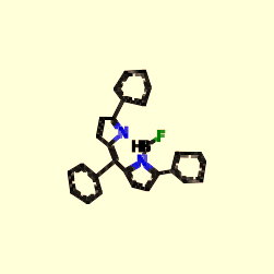 FBn1c(/C(=C2/C=CC(c3ccccc3)=N2)c2ccccc2)ccc1-c1ccccc1